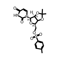 Cc1ccc(S(=O)(=O)OC[C@H]2O[C@@H](n3ccc(=O)[nH]c3=O)[C@H]3OC(C)(C)OC23)cc1